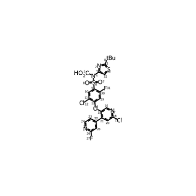 CC(C)(C)c1nc(N(C(=O)O)S(=O)(=O)c2cc(Cl)c(Oc3cnc(Cl)cc3-c3ccnc(F)c3)cc2F)cs1